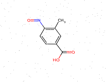 Cc1cc(C(=O)O)ccc1N=O